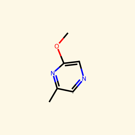 COc1cn[c]c(C)n1